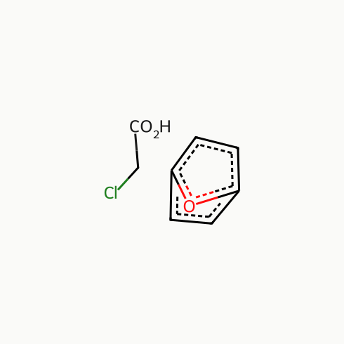 O=C(O)CCl.c1cc2ccc1o2